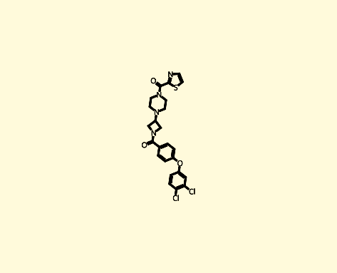 O=C(c1ccc(Oc2ccc(Cl)c(Cl)c2)cc1)N1CC(N2CCN(C(=O)c3nccs3)CC2)C1